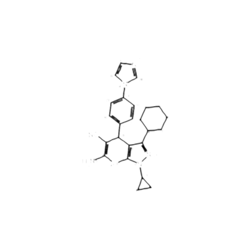 N#CC1=C(N)Oc2c(c(C3CCCCC3)nn2C2CC2)C1c1ccc(-n2ccnc2)cc1